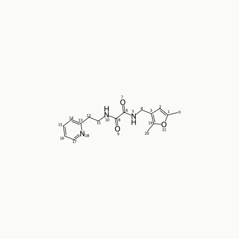 Cc1cc(CNC(=O)C(=O)NCCc2ccccn2)c(C)o1